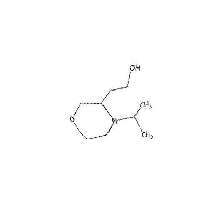 CC(C)N1CCOCC1CCO